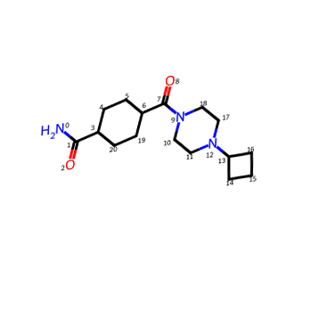 NC(=O)C1CCC(C(=O)N2CCN(C3CCC3)CC2)CC1